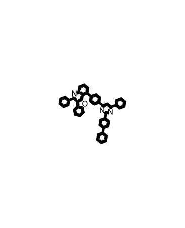 c1ccc(-c2ccc(-c3nc(-c4ccccc4)cc(-c4ccc(-c5cccc6nc(-c7ccccc7)c7c8ccccc8oc7c56)cc4)n3)cc2)cc1